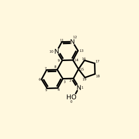 ON=C1c2ccccc2-c2ncncc2C12CCCC2